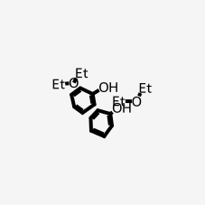 CCOCC.CCOCC.Oc1ccccc1.Oc1ccccc1